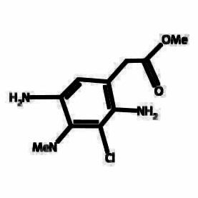 CNc1c(N)cc(CC(=O)OC)c(N)c1Cl